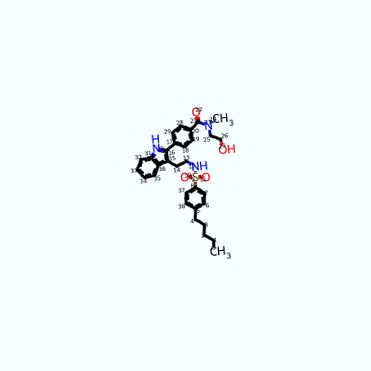 CCCCCc1ccc(S(=O)(=O)NCCc2c(-c3ccc(C(=O)N(C)CCO)cc3)[nH]c3ccccc23)cc1